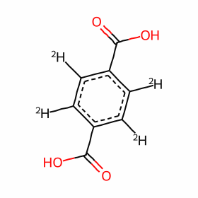 [2H]c1c([2H])c(C(=O)O)c([2H])c([2H])c1C(=O)O